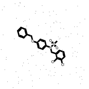 CS(=O)(=O)N(Cc1cccc(Cl)c1Cl)c1ccc(OCc2ccccc2)cc1